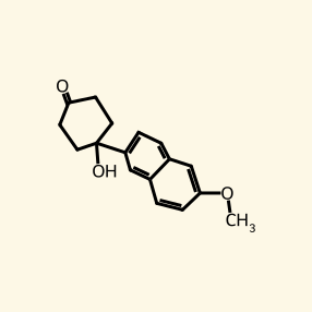 COc1ccc2cc(C3(O)CCC(=O)CC3)ccc2c1